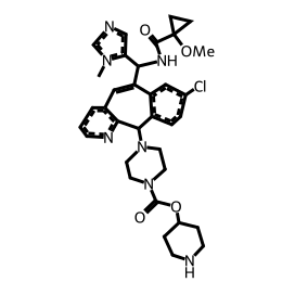 COC1(C(=O)NC(C2=Cc3cccnc3C(N3CCN(C(=O)OC4CCNCC4)CC3)c3ccc(Cl)cc32)c2cncn2C)CC1